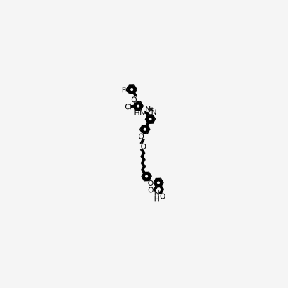 O=C1Cc2cccc(Oc3ccc(CCCCCCCOCCOc4ccc(-c5ccc6ncnc(Nc7ccc(OCc8cccc(F)c8)c(Cl)c7)c6c5)cc4)cc3)c2C(=O)N1